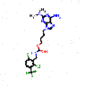 CN(C)c1nc(N)c2ncn(CCCCOC(O)NCc3c(Cl)ccc(C(F)(F)F)c3Cl)c2n1